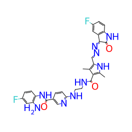 Cc1[nH]c(C=NN=C2C(=O)Nc3ccc(F)cc32)c(C)c1C(=O)NCCNc1ccc(C(=O)Nc2ccc(F)cc2N)cn1